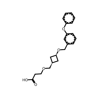 O=C(O)CCOC[C@H]1C[C@@H](OCc2cccc(Oc3ccccc3)c2)C1